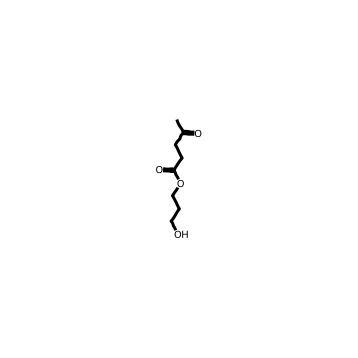 CC(=O)CCC(=O)OCCCO